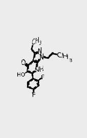 CCCn1nc(CC)c2c(=O)c(O)c(-c3ccc(F)cc3F)[nH]c21